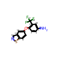 Nc1ccc(Oc2ccc3sncc3c2)c(C(F)(F)F)c1